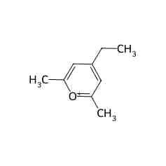 CCc1cc(C)[o+]c(C)c1